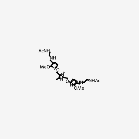 COc1nc(OCc2nc(C)c(COc3ccc(CNCCNC(C)=O)c(OC)n3)n2C)ccc1CNCCNC(C)=O